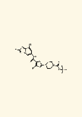 Cc1cn2cc(NC(=O)c3sc(C4CCN(C(=O)OC(C)(C)C)CC4)cc3F)cc(Cl)c2n1